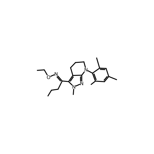 CCCC(=NOCC)c1c2c(nn1C)N(c1c(C)cc(C)cc1C)CCC2